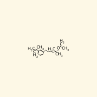 CC(C)OCC(C)(C)CCCCc1cccc(C(C)(C)C)c1